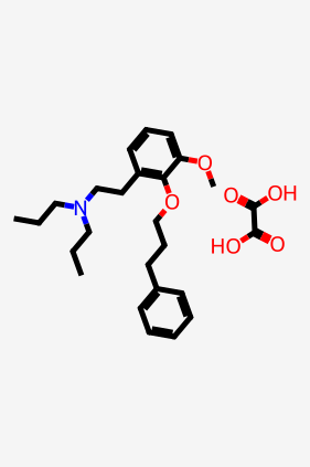 CCCN(CCC)CCc1cccc(OC)c1OCCCc1ccccc1.O=C(O)C(=O)O